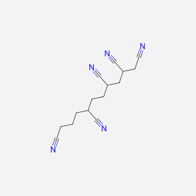 N#CCCCC(C#N)CCC(C#N)CC(C#N)CC#N